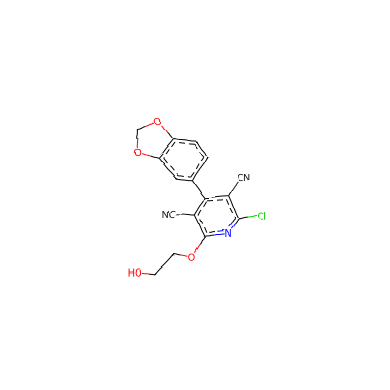 N#Cc1c(Cl)nc(OCCO)c(C#N)c1-c1ccc2c(c1)OCO2